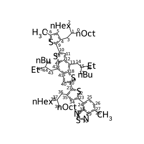 CCCCCCCCC(CCCCCC)Cc1cc(C)sc1-c1cc2c(CC(CC)CCCC)c3sc(-c4sc(-c5ccc(C)c6nsnc56)cc4CC(CCCCCC)CCCCCCCC)cc3c(CC(CC)CCCC)c2s1